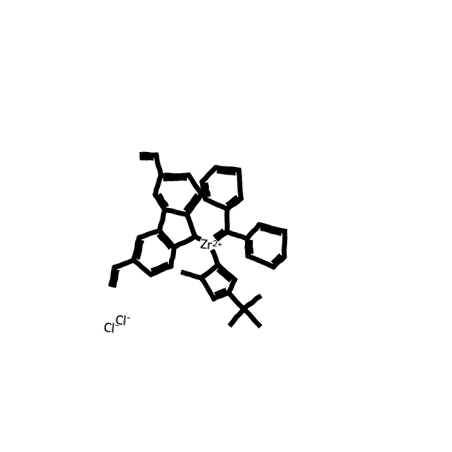 C=Cc1ccc2c(c1)-c1cc(C=C)ccc1[CH]2[Zr+2]([C]1=CC(C(C)(C)C)=CC1C)=[C](c1ccccc1)c1ccccc1.[Cl-].[Cl-]